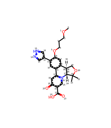 COCCCOc1cc2c(cc1-c1cn[nH]c1)-c1cc(=O)c(C(=O)O)cn1[C@@H]1[C@@H]2COC1(C)C